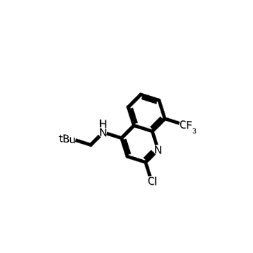 CC(C)(C)CNc1cc(Cl)nc2c(C(F)(F)F)cccc12